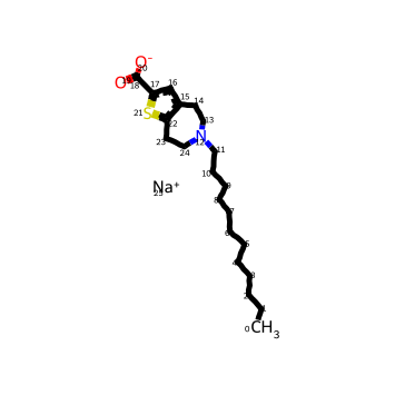 CCCCCCCCCCCCN1CCc2cc(C(=O)[O-])sc2CC1.[Na+]